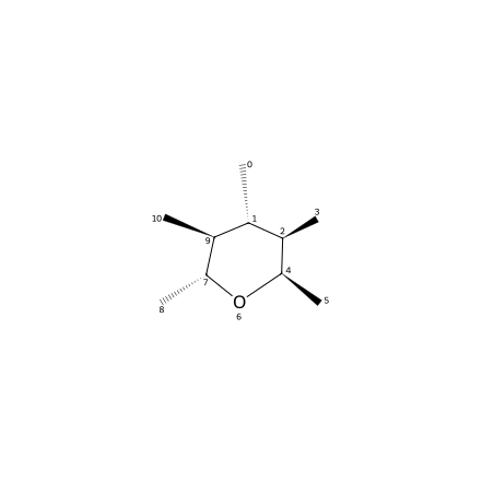 C[C@@H]1[C@@H](C)[C@@H](C)O[C@H](C)[C@H]1C